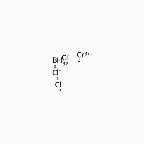 B.[Cl-].[Cl-].[Cl-].[Cr+3]